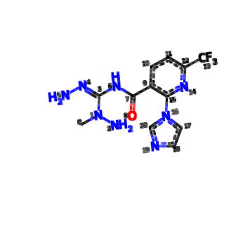 CN(N)/C(=N\N)NC(=O)c1ccc(C(F)(F)F)nc1-n1ccnc1